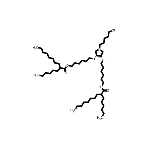 CCCCCCCCC(CCCCCC)C(=O)OCCCCCCO[C@H]1CN(CCCCCO)C[C@H]1OCCCCCCOC(=O)C(CCCCCC)CCCCCCCC